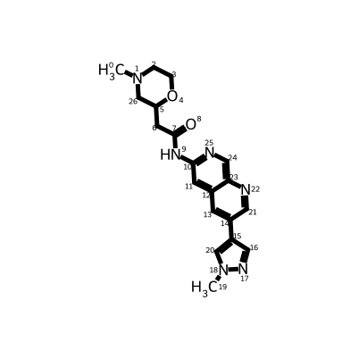 CN1CCOC(CC(=O)Nc2cc3cc(-c4cnn(C)c4)cnc3cn2)C1